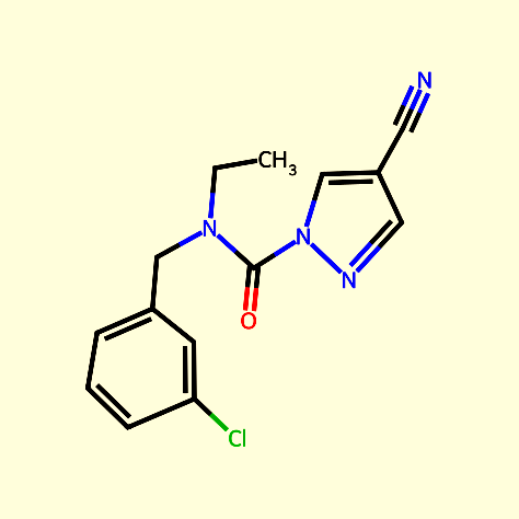 CCN(Cc1cccc(Cl)c1)C(=O)n1cc(C#N)cn1